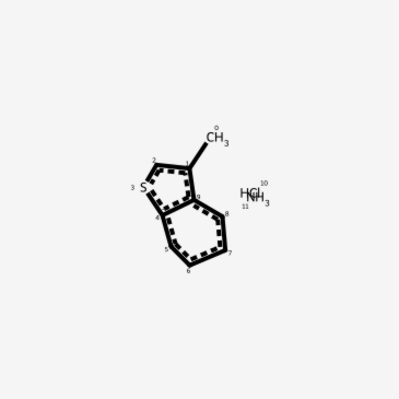 Cc1csc2ccccc12.Cl.N